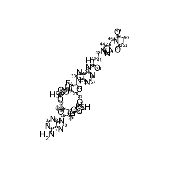 Nc1ncnc2c1ncn2[C@@H]1O[C@@H]2CO[P@@](=O)(S)O[C@@H]3C(CO[P@@](=O)(S)O[C@H]2[C@H]1F)O[C@@H](n1cnc2c(NC(=O)CCCn4cc(CN5C(=O)C=CC5=O)nn4)ncnc21)[C@@H]3F